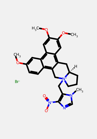 COc1ccc2c3c(c4cc(OC)c(OC)cc4c2c1)C[C@H]1CCC[N+]1(Cc1c([N+](=O)[O-])ncn1C)C3.[Br-]